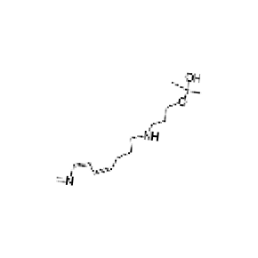 C=N/C=C\C=C/CCCNCCCOC(C)(C)O